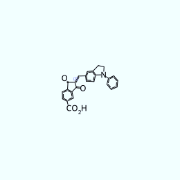 O=C(O)c1ccc2c(c1)C(=O)/C(=C\c1ccc3c(c1)CCN3c1ccccc1)C2=O